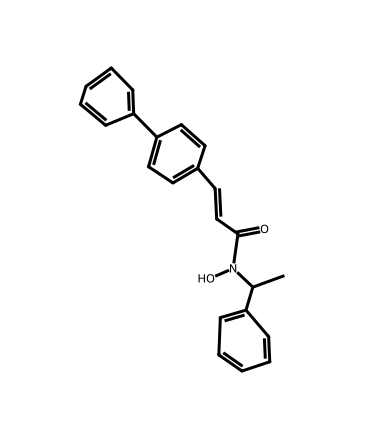 CC(c1ccccc1)N(O)C(=O)/C=C/c1ccc(-c2ccccc2)cc1